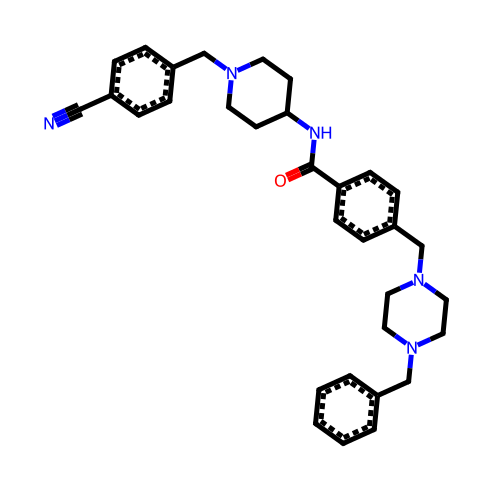 N#Cc1ccc(CN2CCC(NC(=O)c3ccc(CN4CCN(Cc5ccccc5)CC4)cc3)CC2)cc1